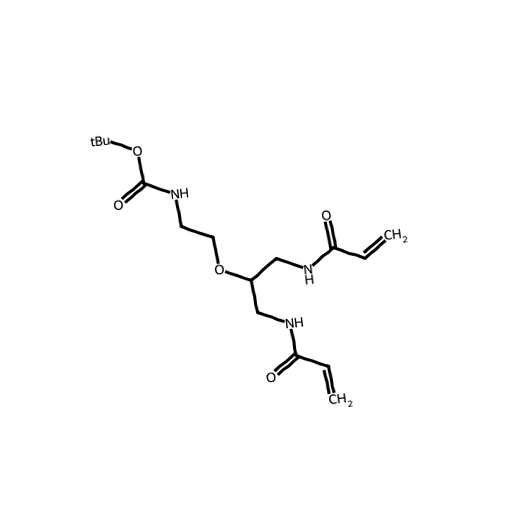 C=CC(=O)NCC(CNC(=O)C=C)OCCNC(=O)OC(C)(C)C